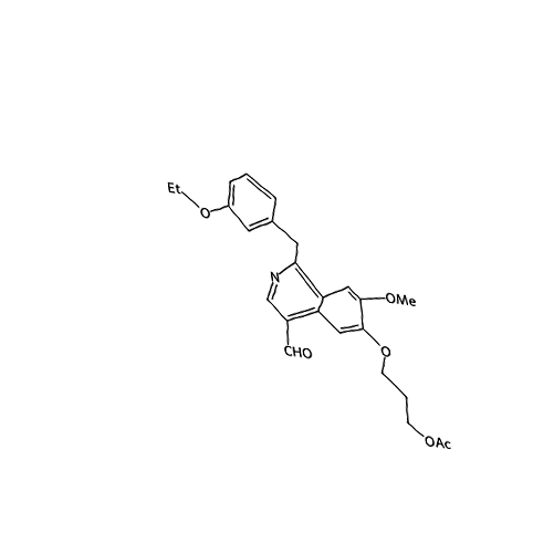 CCOc1cccc(Cc2ncc(C=O)c3cc(OCCCOC(C)=O)c(OC)cc23)c1